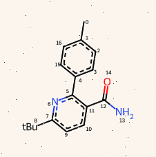 Cc1ccc(-c2nc(C(C)(C)C)ccc2C(N)=O)cc1